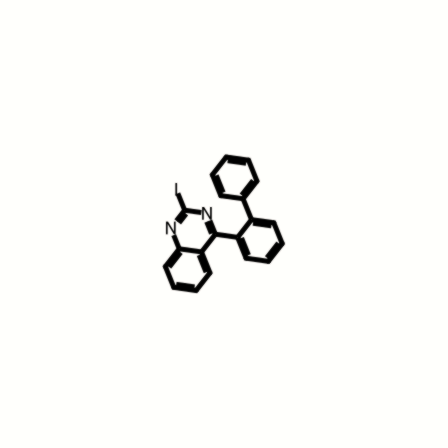 Ic1nc(-c2ccccc2-c2ccccc2)c2ccccc2n1